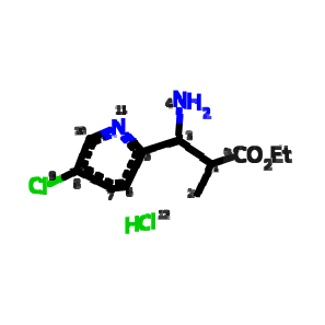 CCOC(=O)C(C)C(N)c1ccc(Cl)cn1.Cl